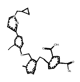 Cc1cc(-c2ccn(CC3CC3)n2)ccc1OCc1c(C)cccc1Cc1ccc(C(=O)O)cc1C(=O)O